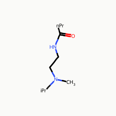 CCCC(=O)NCCN(C)C(C)C